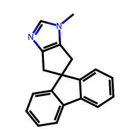 Cn1cnc2c1CC1(C2)c2ccccc2-c2ccccc21